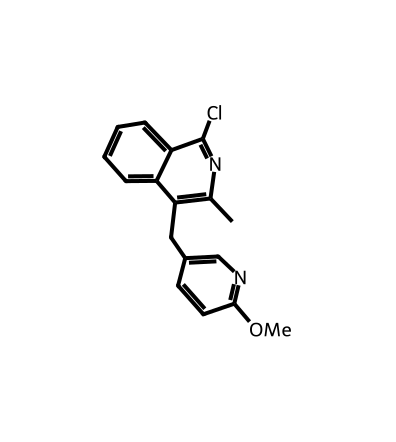 COc1ccc(Cc2c(C)nc(Cl)c3ccccc23)cn1